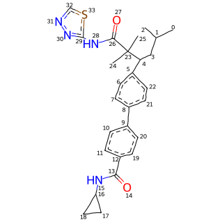 CC(C)CC(c1ccc(-c2ccc(C(=O)NC3CC3)cc2)cc1)C(C)(C)C(=O)Nc1nncs1